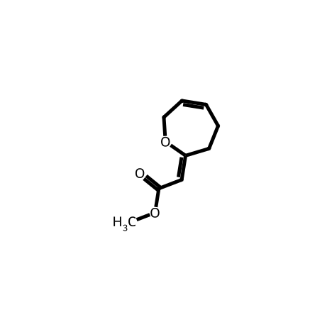 COC(=O)C=C1CCC=CCO1